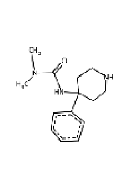 CN(C)C(=O)NC1(c2ccccc2)CCNCC1